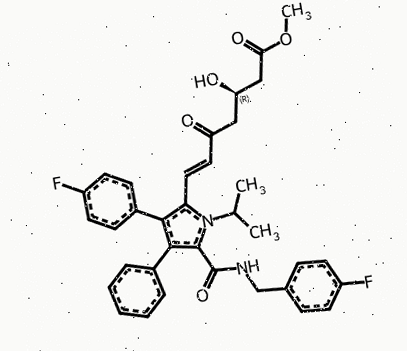 COC(=O)C[C@H](O)CC(=O)C=Cc1c(-c2ccc(F)cc2)c(-c2ccccc2)c(C(=O)NCc2ccc(F)cc2)n1C(C)C